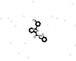 O=C(NCc1ccccc1F)c1nc(-c2cccc(Cl)c2)n2ccccc12